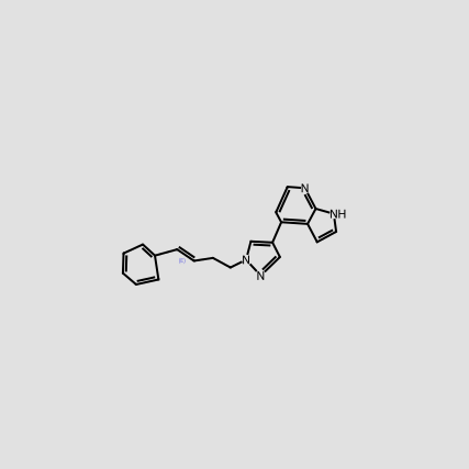 C(=C\c1ccccc1)/CCn1cc(-c2ccnc3[nH]ccc23)cn1